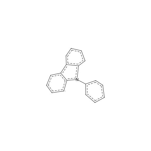 [c]1cccc2c3ccccc3n(-c3ccccc3)c12